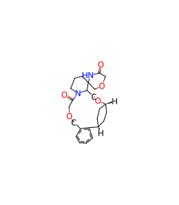 O=C1COCC2(CCCN3C(=O)COCc4ccccc4[C@H]4CC[C@H](CC4)OCC32)N1